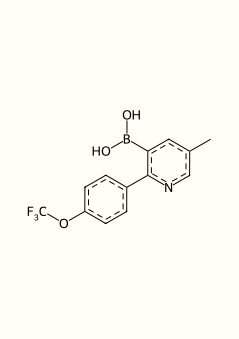 Cc1cnc(-c2ccc(OC(F)(F)F)cc2)c(B(O)O)c1